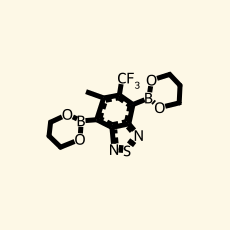 Cc1c(C(F)(F)F)c(B2OCCCO2)c2nsnc2c1B1OCCCO1